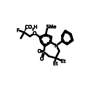 CCC1(CC)CN(c2ccccc2)c2cc(SC)c(OC[C@@](C)(F)C(=O)O)cc2S(=O)(=O)C1